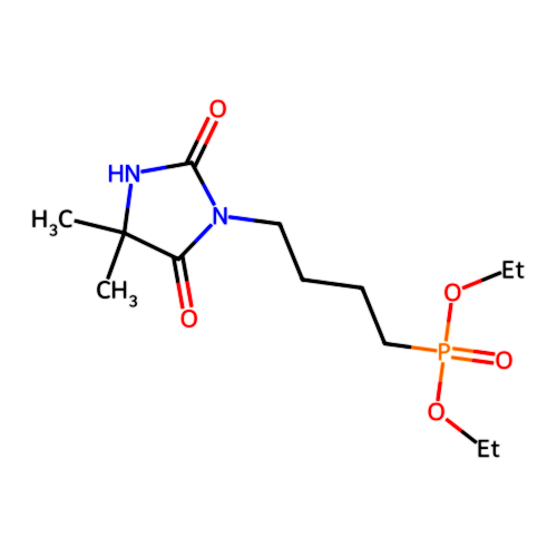 CCOP(=O)(CCCCN1C(=O)NC(C)(C)C1=O)OCC